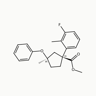 COC(=O)[C@@]1(c2cccc(F)c2C)CC[C@@](C)(Oc2ccccc2)C1